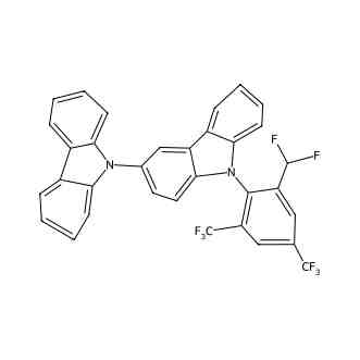 FC(F)c1cc(C(F)(F)F)cc(C(F)(F)F)c1-n1c2ccccc2c2cc(-n3c4ccccc4c4ccccc43)ccc21